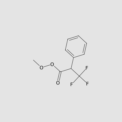 COOC(=O)C(c1ccccc1)C(F)(F)F